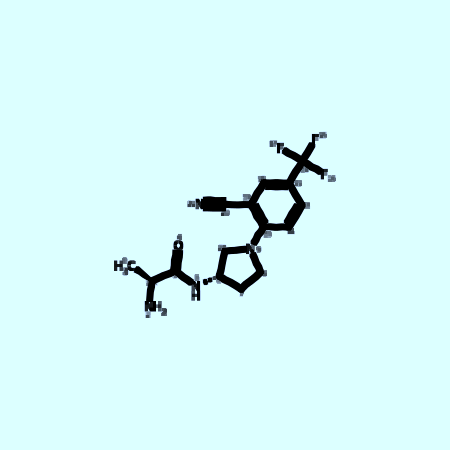 C[C@H](N)C(=O)N[C@H]1CCN(c2ccc(C(F)(F)F)cc2C#N)C1